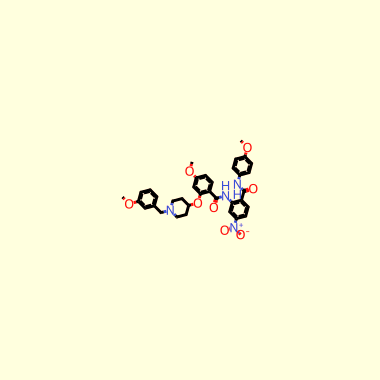 COc1ccc(NC(=O)c2ccc([N+](=O)[O-])cc2NC(=O)c2ccc(OC)cc2OC2CCN(Cc3cccc(OC)c3)CC2)cc1